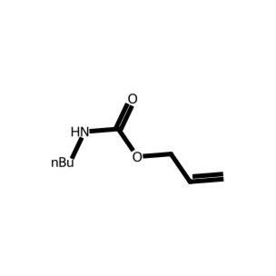 C=CCOC(=O)NCCCC